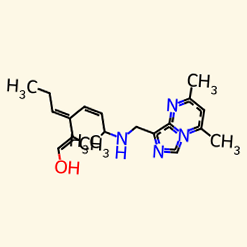 CC/C=C(\C=C/C(C)NCc1ncn2c(C)cc(C)nc12)C(/C)=C/O